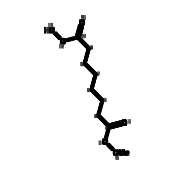 COOC(=O)CCCCCCC(=O)OO